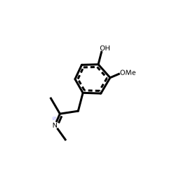 C/N=C(/C)Cc1ccc(O)c(OC)c1